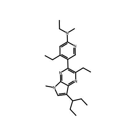 CCc1cc(N(C)CC)ncc1-c1nc2c(nc1CC)c(C(CC)CC)cn2C